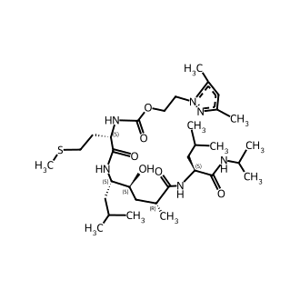 CSCC[C@H](NC(=O)OCCn1nc(C)cc1C)C(=O)N[C@@H](CC(C)C)[C@@H](O)C[C@@H](C)C(=O)N[C@@H](CC(C)C)C(=O)NC(C)C